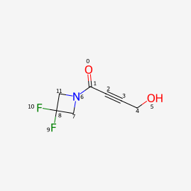 O=C(C#CCO)N1CC(F)(F)C1